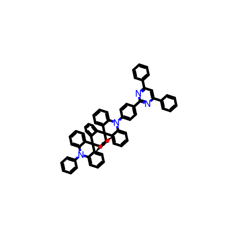 c1ccc(-c2cc(-c3ccccc3)nc(-c3ccc(N4c5ccccc5C5(c6ccccc64)c4ccccc4C4(c6ccccc6N(c6ccccc6)c6ccccc64)c4ccccc45)cc3)n2)cc1